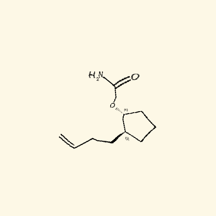 C=CCC[C@@H]1CCC[C@H]1OC(N)=O